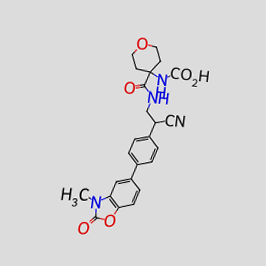 Cn1c(=O)oc2ccc(-c3ccc(C(C#N)CNC(=O)C4(NC(=O)O)CCOCC4)cc3)cc21